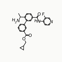 CC(N)c1ccc(C(=O)Nc2ccncc2F)cc1-c1cccc(C(=O)OCC2CC2)c1